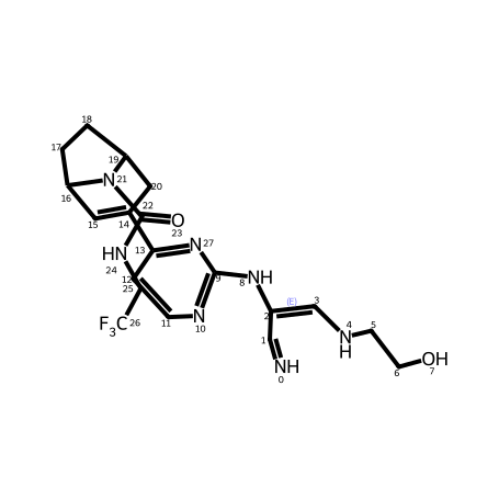 N=C/C(=C\NCCO)Nc1nccc(C2=CC3CCC(C2)N3C(=O)NCC(F)(F)F)n1